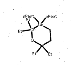 CCCC[CH2][Ge]1([CH2]CCCC)[CH2]CC(CC)(CC)[O][Ge]1([CH2]C)[CH2]C